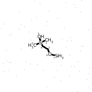 C[Si](C)(O)CCO[SiH3]